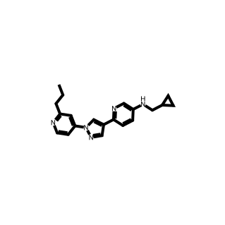 CCCc1cc(-n2cc(-c3ccc(NCC4CC4)cn3)cn2)ccn1